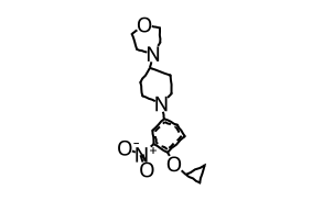 O=[N+]([O-])c1cc(N2CCC(N3CCOCC3)CC2)ccc1OC1CC1